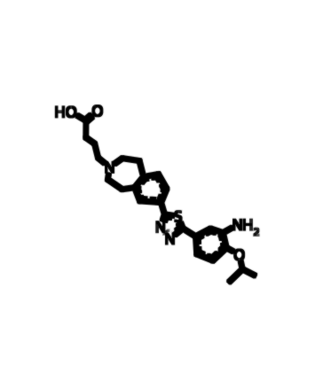 CC(C)Oc1ccc(-c2nnc(-c3ccc4c(c3)CCN(CCCC(=O)O)CC4)s2)cc1N